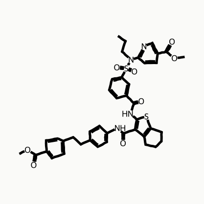 CCCN(c1ccc(C(=O)OC)cn1)S(=O)(=O)c1cccc(C(=O)Nc2sc3c(c2C(=O)Nc2ccc(CCc4ccc(C(=O)OC)cc4)cc2)CCCC3)c1